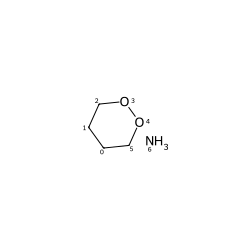 C1CCOOC1.N